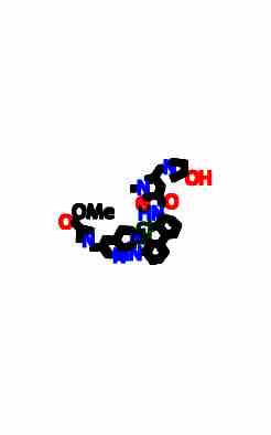 COC(=O)C1CN(Cc2cnc3c(Nc4cccc(-c5cccc(NC(=O)c6cc(CN7CC[C@@H](O)C7)cn(C)c6=O)c5Cl)c4Cl)nccc3c2)C1